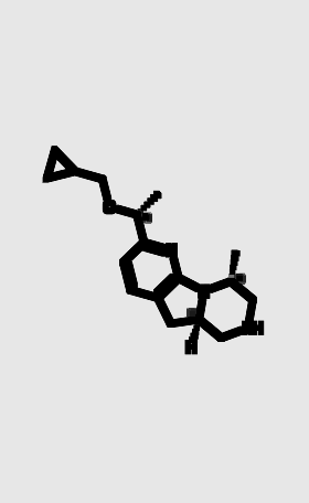 C[C@@H]1CNC[C@H]2Cc3ccc([C@@H](C)OCC4CC4)nc3N21